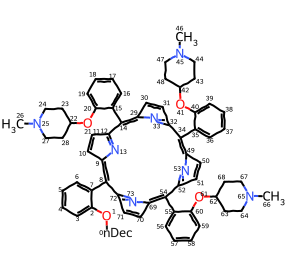 CCCCCCCCCCOc1ccccc1C1=C2C=CC(=N2)C(c2ccccc2OC2CCN(C)CC2)=C2C=CC(=N2)C(c2ccccc2OC2CCN(C)CC2)=C2C=CC(=N2)C(c2ccccc2OC2CCN(C)CC2)=C2C=CC1=N2